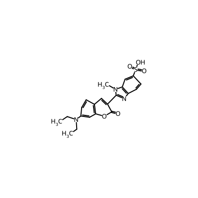 CCN(CC)c1ccc2cc(-c3nc4ccc(S(=O)(=O)O)cc4n3C)c(=O)oc2c1